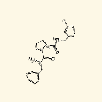 N[C@H](Cc1ccccc1)C(=O)N1CCC[C@H]1C(=O)NCc1cccc(Cl)c1